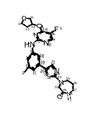 Cc1cc(Nc2ncc(F)c(OC3CCOC3)n2)cc(-c2cnc(N3CCCNC(=O)C3)s2)c1